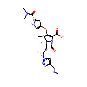 CNCc1cn([C@H](C)[C@H]2C(=O)N3C(C(=O)O)=C(SC4=CN[C@H](C(=O)N(C)C)C4)[C@H](C)[C@H]23)nn1